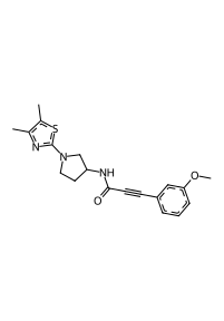 COc1cccc(C#CC(=O)NC2CCN(c3nc(C)c(C)s3)C2)c1